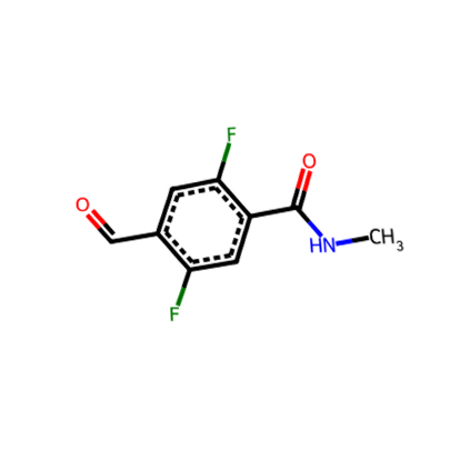 CNC(=O)c1cc(F)c(C=O)cc1F